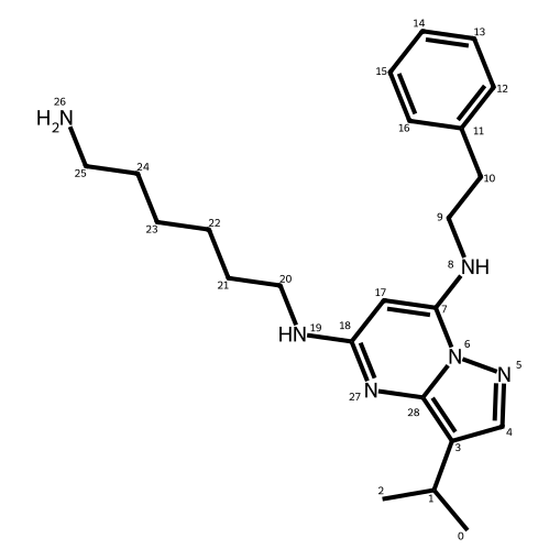 CC(C)c1cnn2c(NCCc3ccccc3)cc(NCCCCCCN)nc12